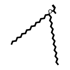 C=CC(C)OC(CCCCCCCCCCCCCCCC)CCCCCCCCCCCCCCCCC